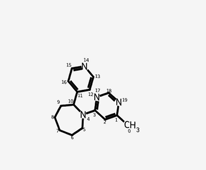 Cc1cc(N2CCCCCC2c2ccncc2)ncn1